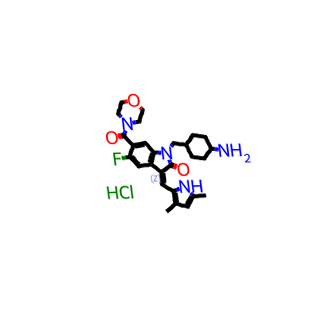 Cc1cc(C)c(/C=C2\C(=O)N(CC3CCC(N)CC3)c3cc(C(=O)N4CCOCC4)c(F)cc32)[nH]1.Cl